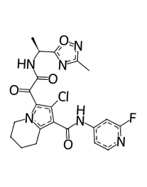 Cc1noc([C@H](C)NC(=O)C(=O)c2c(Cl)c(C(=O)Nc3ccnc(F)c3)c3n2CCCC3)n1